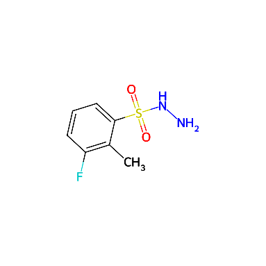 Cc1c(F)cccc1S(=O)(=O)NN